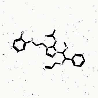 C=CCOC(c1ccccc1)C(OC)N1C=CN(CCNc2ccccc2Cl)C1OC(C)=O